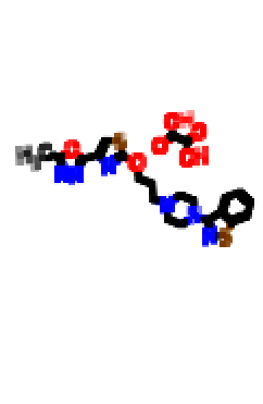 Cc1nnc(-c2csc(OCCCN3CCN(c4nsc5ccccc45)CC3)n2)o1.O=C(O)C(=O)O